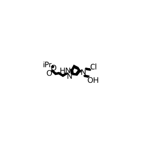 CC(C)OC(=O)CCCc1nc2cc(N(CCO)CCCl)ccc2[nH]1